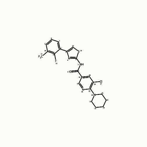 O=C(Nc1nc(-c2cccc(C(F)(F)F)c2F)cs1)c1cnc(N2CCCCC2)c(Cl)c1